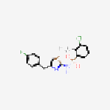 Cc1c(Cl)cccc1S(=O)(=O)Nc1nc(Cc2ccc(F)cc2)cs1